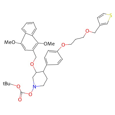 COc1cc(COC2CN(OC(=O)OC(C)(C)C)CCC2c2ccc(OCCCOCc3ccsc3)cc2)c(OC)c2ccccc12